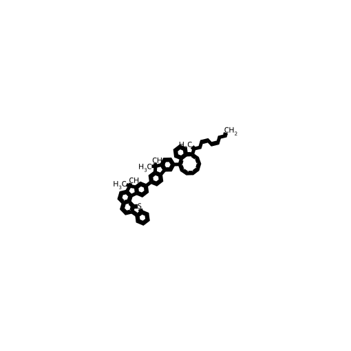 C=CC/C=C\C=C/CC(=C)c1ccccccc(-c2ccc3c(c2)-c2ccc(-c4ccc5c(c4)C(C)(C)c4ccc6ccc7c8ccccc8sc7c6c4-5)cc2C3(C)C)c2ccccc12